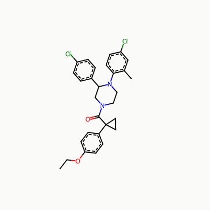 CCOc1ccc(C2(C(=O)N3CCN(c4ccc(Cl)cc4C)C(c4ccc(Cl)cc4)C3)CC2)cc1